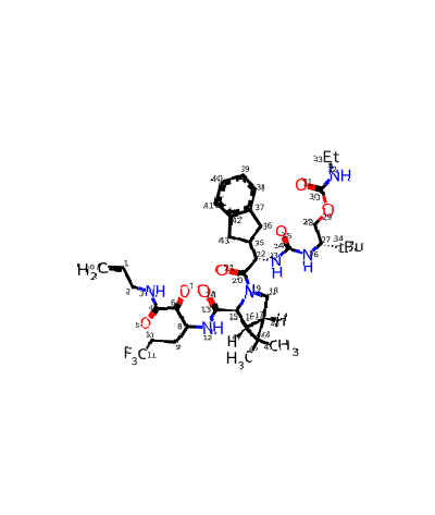 C=CCNC(=O)C(=O)C(CCC(F)(F)F)NC(=O)[C@@H]1[C@@H]2[C@H](CN1C(=O)[C@@H](NC(=O)N[C@H](COC(=O)NCC)C(C)(C)C)C1Cc3ccccc3C1)C2(C)C